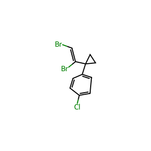 Clc1ccc(C2(/C(Br)=C/Br)CC2)cc1